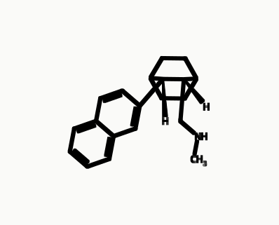 CNC[C@H]1C2CCC(CC2)[C@H]1c1ccc2ccccc2c1